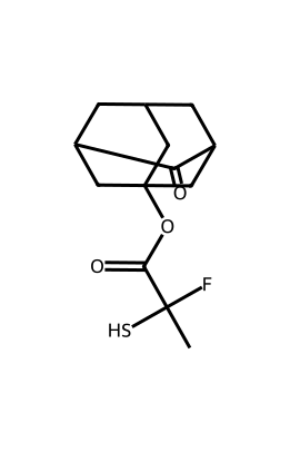 CC(F)(S)C(=O)OC12CC3CC(C1)C(=O)C(C3)C2